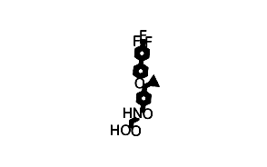 O=C(O)CCNC(=O)c1ccc(C(Oc2ccc(-c3ccc(C(F)(F)F)cc3)cc2)C2CC2)cc1